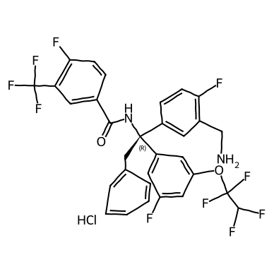 Cl.NCc1cc([C@@](Cc2ccccc2)(NC(=O)c2ccc(F)c(C(F)(F)F)c2)c2cc(F)cc(OC(F)(F)C(F)F)c2)ccc1F